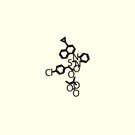 Cc1oc(=O)oc1COC(=O)C(Sc1nc2ccccc2n1-c1ccc(C2CC2)c2ccccc12)c1ccc(Cl)cc1